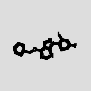 Fc1ccc(-n2ncc3c(OCc4ccccc4)ncnc32)c(I)c1